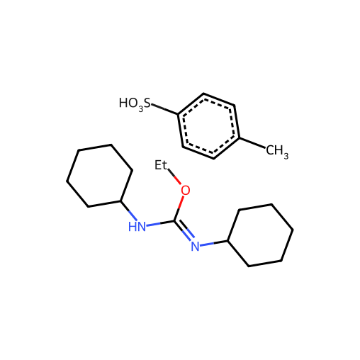 CCOC(=NC1CCCCC1)NC1CCCCC1.Cc1ccc(S(=O)(=O)O)cc1